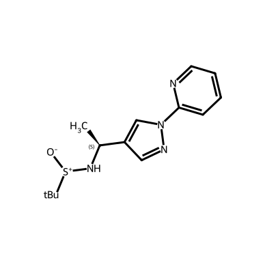 C[C@H](N[S+]([O-])C(C)(C)C)c1cnn(-c2ccccn2)c1